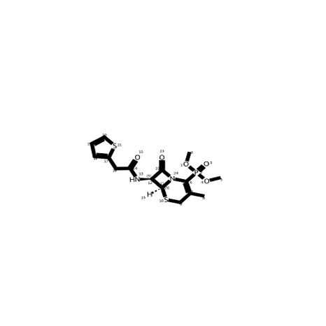 COP(=O)(OC)C1=C(C)CS[C@H]2[C@@H](NC(=O)Cc3cccs3)C(=O)N12